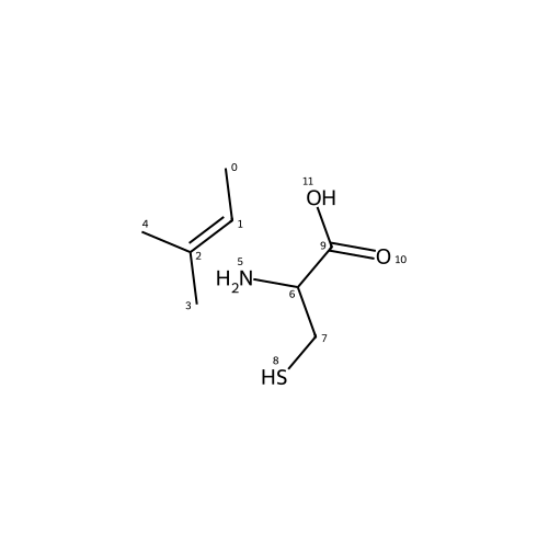 CC=C(C)C.NC(CS)C(=O)O